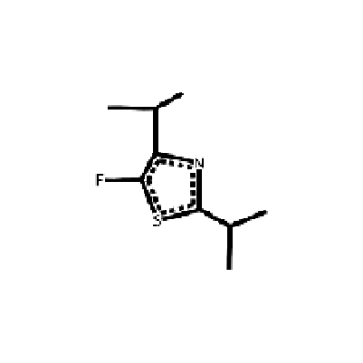 CC(C)c1nc(C(C)C)c(F)s1